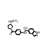 CN[C@H]1CCN(C(=O)c2ccc(N[C@@H](C)c3ccc4[nH]ncc4c3)nc2)C1